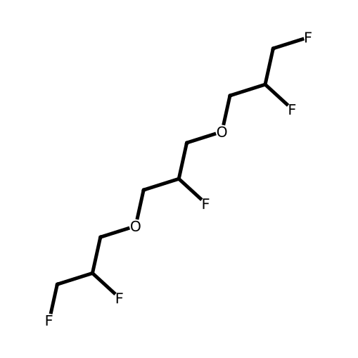 FCC(F)COCC(F)COCC(F)CF